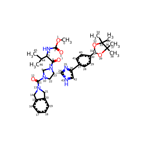 COC(=O)NC(C(=O)N1CN(C(=O)N2Cc3ccccc3C2)C[C@H]1c1nc(-c2ccc(B3OC(C)(C)C(C)(C)O3)cc2)c[nH]1)C(C)C